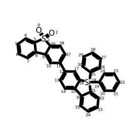 O=S1(=O)c2ccccc2-c2cc(-c3ccc4c(c3)[Si](c3ccccc3)(c3ccccc3)c3ccccc3-4)ccc21